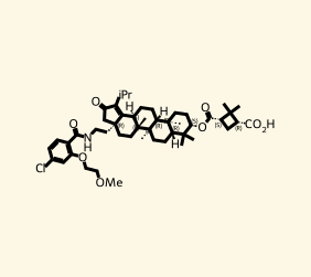 COCCOc1cc(Cl)ccc1C(=O)NCC[C@@]12CC[C@]3(C)[C@H](CC[C@@H]4[C@@]5(C)CC[C@H](OC(=O)[C@H]6C[C@@H](C(=O)O)C6(C)C)C(C)(C)[C@@H]5CC[C@]43C)C1=C(C(C)C)C(=O)C2